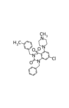 Cc1cccc(CN2C(=O)N(Cc3ccccc3)c3cc(Cl)cc(N4CCN(C)CC4)c3S2(=O)=O)c1